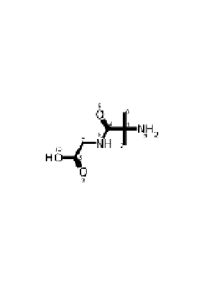 CC(C)(N)C(=O)NCC(=O)O